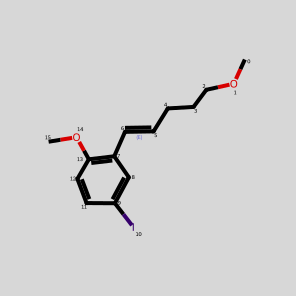 COCCC/C=C/c1cc(I)ccc1OC